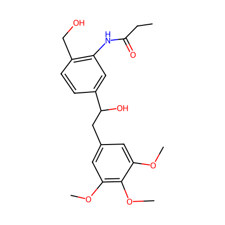 CCC(=O)Nc1cc(C(O)Cc2cc(OC)c(OC)c(OC)c2)ccc1CO